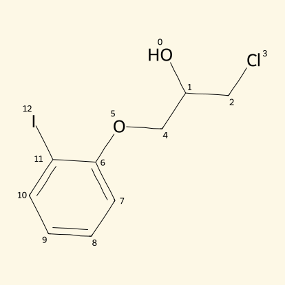 OC(CCl)COc1ccccc1I